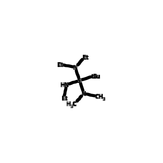 CCN[Si](N(C)C)(N(CC)CC)C(C)(C)C